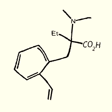 C=Cc1ccccc1CC(CC)(C(=O)O)N(C)C